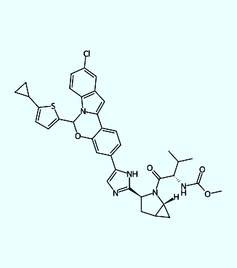 COC(=O)N[C@H](C(=O)N1[C@@H]2CC2C[C@H]1c1ncc(-c2ccc3c(c2)OC(c2ccc(C4CC4)s2)n2c-3cc3cc(Cl)ccc32)[nH]1)C(C)C